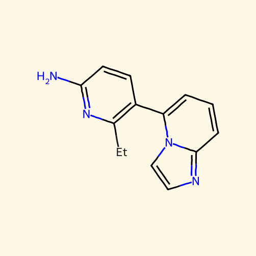 CCc1nc(N)ccc1-c1cccc2nccn12